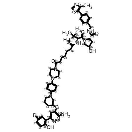 Cc1ncsc1-c1ccc(CNC(=O)[C@@H]2C[C@@H](O)CN2C(=O)[C@@H](NC(=O)CCCCCC(=O)N2CCN(c3ccc(N4CCCC(Oc5cc(-c6cc(F)ccc6O)nnc5N)C4)cc3)CC2)C(C)(C)C)cc1